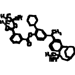 CCCC(C)(C)OC(=O)c1cccc(C(=O)Oc2ccc(C(C)c3ccc4c(c3)C3CCC(CC3)CCC4(C)CCC)cc2C2CCCCC2)c1